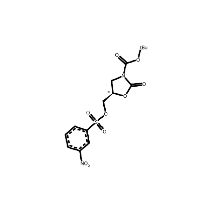 CC(C)(C)OC(=O)N1C[C@H](COS(=O)(=O)c2cccc([N+](=O)[O-])c2)OC1=O